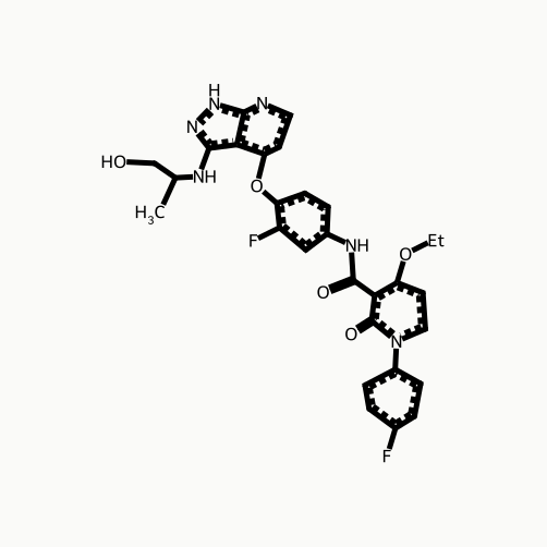 CCOc1ccn(-c2ccc(F)cc2)c(=O)c1C(=O)Nc1ccc(Oc2ccnc3[nH]nc(NC(C)CO)c23)c(F)c1